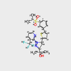 CC(C)S(=O)(=O)c1cccc(-c2ccc(-c3cc(C(C)(C)O)nn3-c3ncccc3C(F)(F)F)s2)c1